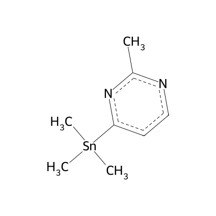 Cc1ncc[c]([Sn]([CH3])([CH3])[CH3])n1